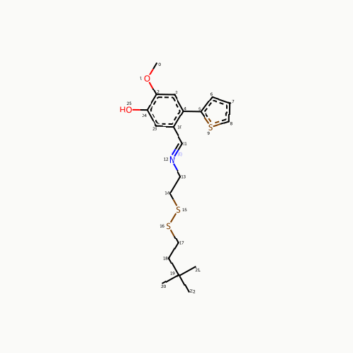 COc1cc(-c2cccs2)c(/C=N/CCSSCCC(C)(C)C)cc1O